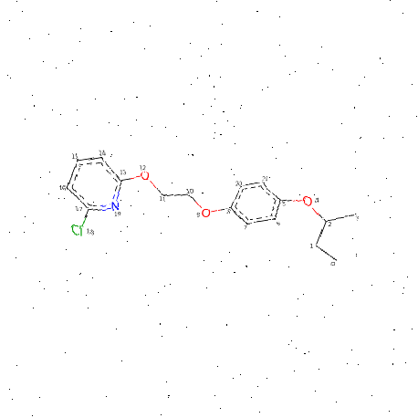 CCC(C)Oc1ccc(OCCOc2cccc(Cl)n2)cc1